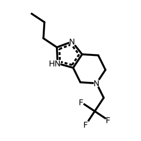 CCCc1nc2c([nH]1)CN(CC(F)(F)F)CC2